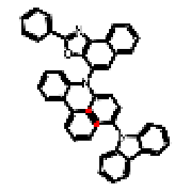 c1ccc(-c2nc3c(o2)c(N(c2ccc(-n4c5ccccc5c5ccccc54)cc2)c2ccccc2-c2ccccc2)cc2ccccc23)cc1